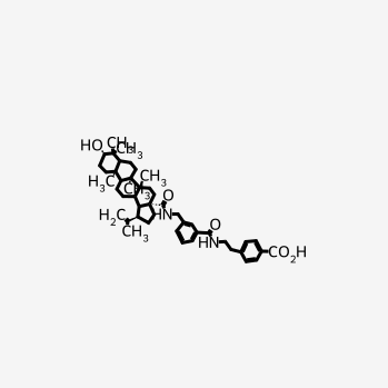 C=C(C)[C@@H]1CC[C@]2(C(=O)NCc3cccc(C(=O)NCCc4ccc(C(=O)O)cc4)c3)CC[C@]3(C)C(CCC4[C@@]5(C)CC[C@H](O)C(C)(C)C5CC[C@]43C)C12